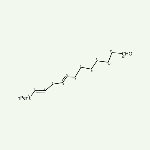 CCCCC/C=C/C/C=C/CCCCCCC=O